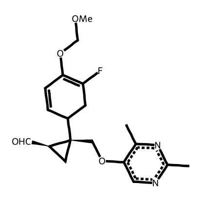 COCOC1=C(F)CC([C@]2(COc3cnc(C)nc3C)C[C@H]2C=O)C=C1